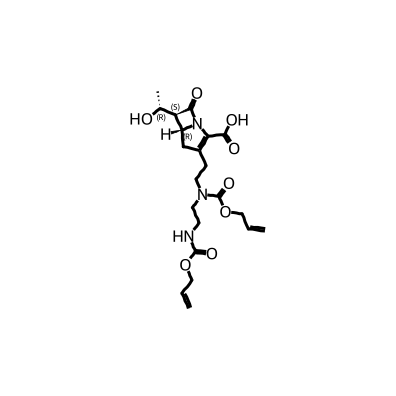 C=CCOC(=O)NCCN(CCC1=C(C(=O)O)N2C(=O)[C@H]([C@@H](C)O)[C@H]2C1)C(=O)OCC=C